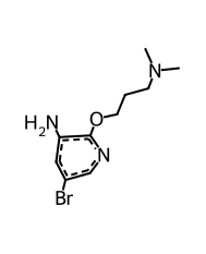 CN(C)CCCOc1ncc(Br)cc1N